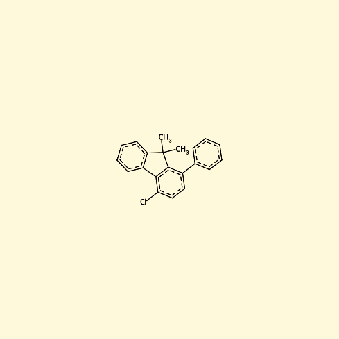 CC1(C)c2ccccc2-c2c(Cl)ccc(-c3ccccc3)c21